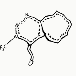 O=c1c2ccccc2nnn1C(F)(F)F